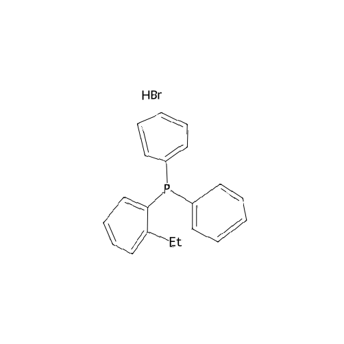 Br.CCc1ccccc1P(c1ccccc1)c1ccccc1